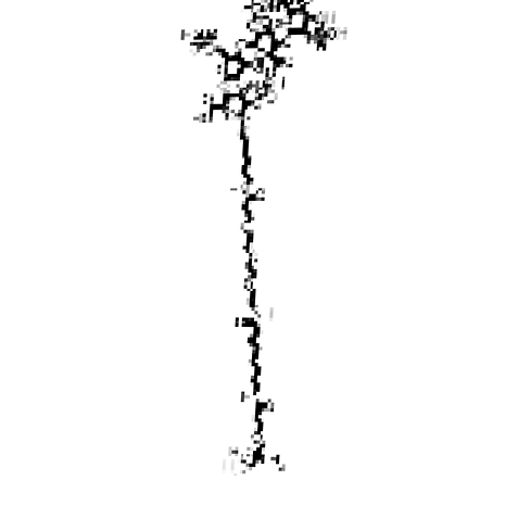 CCC1OC(OC2C(C(=O)O)OC(OC3C(O)CC(OC4C(C(=O)O)OC(OCCCCCCNC(=O)CCOCCOCCOCCNC(=O)CCCCCCCNC(=O)CCOCC(C)(C)CC)C(OS(=O)(=O)O)C4O)OC3COS(=O)(=O)O)C(OS(=O)(=O)O)C2O)C(NS(=O)(=O)O)C(O)C1O